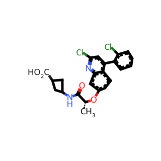 C[C@@H](Oc1ccc2c(-c3ccccc3Cl)cc(Cl)nc2c1)C(=O)NC1CC(C(=O)O)C1